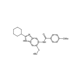 CCCCSc1cc2[nH]c(C3CCCCC3)nc2cc1NC(=O)c1ccc(OC)cc1